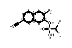 N#Cc1ccc2cc(Br)c(OP(=O)(O)C(F)F)cc2c1